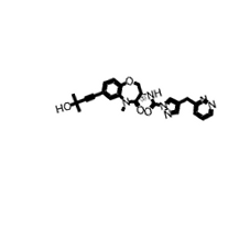 CN1C(=O)[C@@H](NC(=O)n2cc(Cc3cccnn3)cn2)COc2ccc(C#CC(C)(C)O)cc21